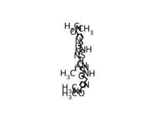 CCC[C@@H](C[C@H](I)c1nnc(NC(=O)Cc2ccc(C(=O)N(C)C)cn2)s1)c1nnc(NC(=O)Cc2ccc(C(=O)N(C)C)cn2)s1